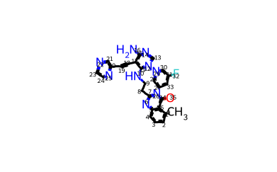 Cc1cccc2nc(CCNc3ncnc(N)c3C#Cc3cnccn3)n(-c3cncc(F)c3)c(=O)c12